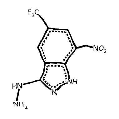 NNc1n[nH]c2c([N+](=O)[O-])cc(C(F)(F)F)cc12